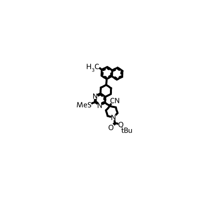 CSc1nc2c(c(C3(C#N)CCN(C(=O)OC(C)(C)C)CC3)n1)CCC(c1cc(C)cc3ccccc13)C2